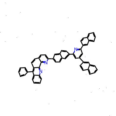 c1ccc(-c2c3ccccc3nc3c2ccc2ccc(-c4ccc5cc(-c6cc(-c7ccc8ccccc8c7)cc(-c7ccc8ccccc8c7)n6)ccc5c4)nc23)cc1